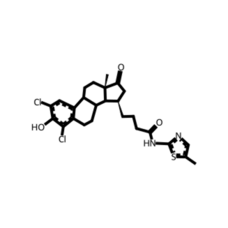 Cc1cnc(NC(=O)CCC[C@@H]2CC(=O)[C@@]3(C)CCC4c5cc(Cl)c(O)c(Cl)c5CCC4C23)s1